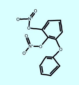 O=[N+]([O-])Oc1cccc(Oc2ccccc2)c1O[N+](=O)[O-]